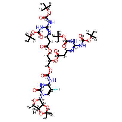 C[C@H]1O[C@@H](N2C=C(F)C(NC(=O)OCC(COC(=O)CCN=C(NC(=O)OC(C)(C)C)NC(=O)OC(C)(C)C)OC(=O)CCN=C(NC(=O)OC(C)(C)C)NC(=O)OC(C)(C)C)NC2=O)C2OC(C)(C)O[C@H]21